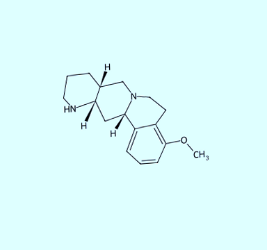 COc1cccc2c1CCN1C[C@H]3CCCN[C@H]3C[C@@H]21